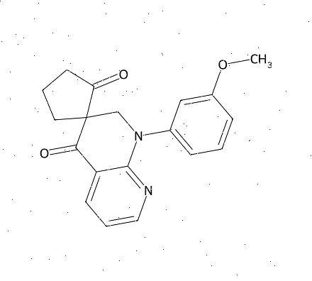 COc1cccc(N2CC3(CCCC3=O)C(=O)c3cccnc32)c1